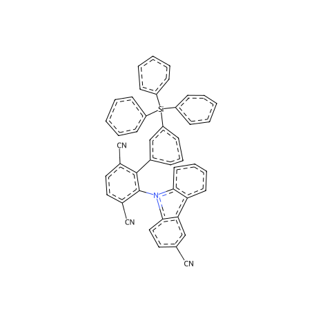 N#Cc1ccc2c(c1)c1ccccc1n2-c1c(C#N)ccc(C#N)c1-c1cccc([Si](c2ccccc2)(c2ccccc2)c2ccccc2)c1